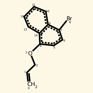 C=CCOc1ccc(Br)c2ccccc12